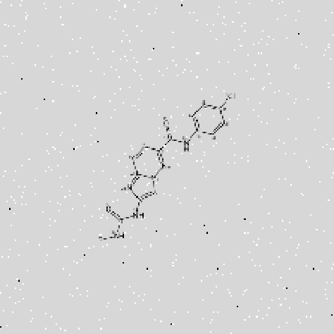 CNC(=O)Nc1cn2nc(C(=O)Nc3ccc(Cl)cc3)ccc2n1